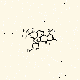 CCc1ccc(C(N)c2c(-c3ccc(F)cc3OC)ccc3c2C(C)=CC(C)(C)N3)cc1